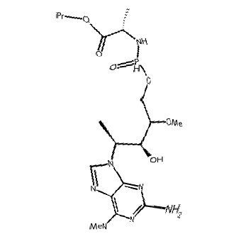 CNc1nc(N)nc2c1ncn2[C@@H](C)[C@H](O)C(CO[PH](=O)N[C@@H](C)C(=O)OC(C)C)OC